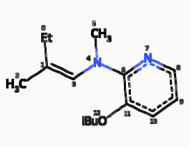 CC/C(C)=C\N(C)c1ncccc1OCC(C)C